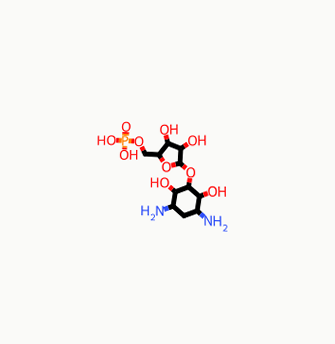 NC1CC(N)C(O)C(OC2OC(COP(=O)(O)O)C(O)C2O)C1O